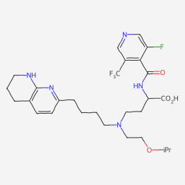 CC(C)OCCN(CCCCc1ccc2c(n1)NCCC2)CCC(NC(=O)c1c(F)cncc1C(F)(F)F)C(=O)O